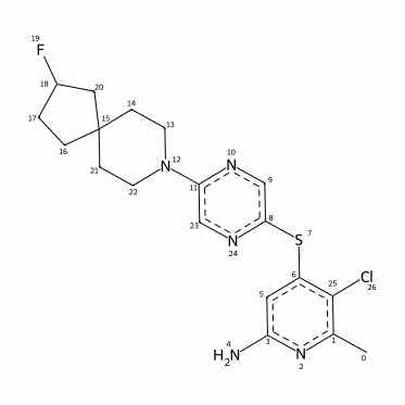 Cc1nc(N)cc(Sc2cnc(N3CCC4(CCC(F)C4)CC3)cn2)c1Cl